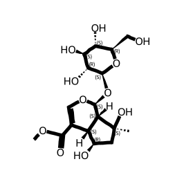 COC(=O)C1=CO[C@@H](O[C@@H]2O[C@H](CO)[C@@H](O)[C@H](O)[C@H]2O)[C@H]2[C@@H]1[C@H](O)C[C@]2(C)O